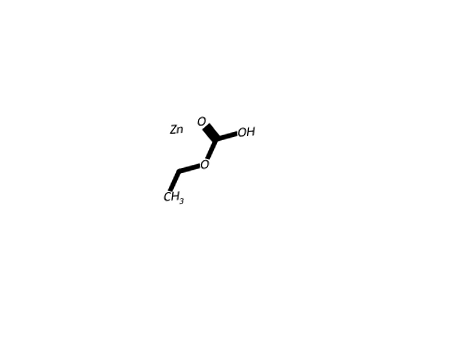 CCOC(=O)O.[Zn]